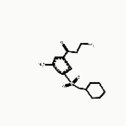 Cc1cc(C(=O)CCN)cc(S(=O)(=O)CC2CCCCC2)c1